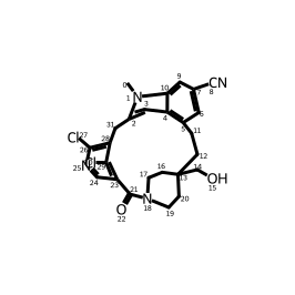 Cn1c2cc3c(cc(C#N)cc31)CCC1(CO)CCN(CC1)C(=O)c1cnc(Cl)c(c1Cl)C2